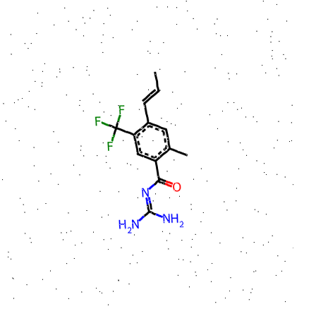 CC=Cc1cc(C)c(C(=O)N=C(N)N)cc1C(F)(F)F